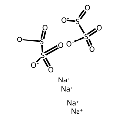 O=S([O-])S(=O)(=O)[O-].O=S([O-])S(=O)(=O)[O-].[Na+].[Na+].[Na+].[Na+]